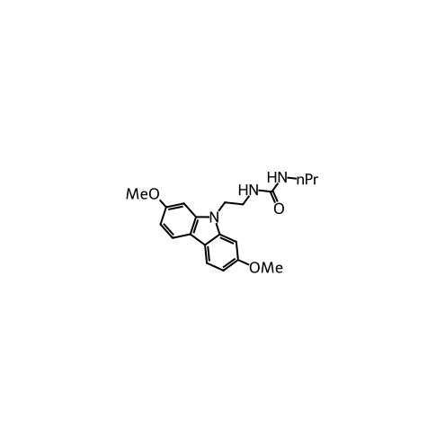 CCCNC(=O)NCCn1c2cc(OC)ccc2c2ccc(OC)cc21